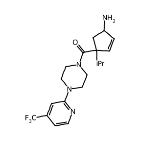 CC(C)C1(C(=O)N2CCN(c3cc(C(F)(F)F)ccn3)CC2)C=CC(N)C1